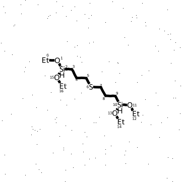 CCO[SiH](CCCSCCC[SiH](OCC)OCC)OCC